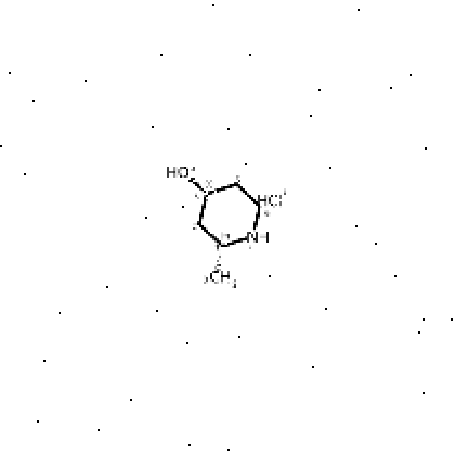 C[C@@H]1C[C@@H](O)CCN1.Cl